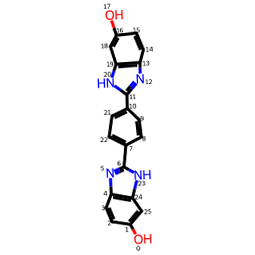 Oc1ccc2nc(-c3ccc(-c4nc5ccc(O)cc5[nH]4)cc3)[nH]c2c1